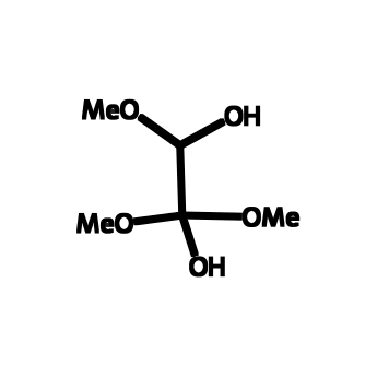 COC(O)C(O)(OC)OC